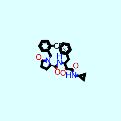 O=C(NC1CC1)C(=O)C(Cc1ccccc1)NC(=O)[C@H]1CCC(=O)N1Cc1ccccc1C(F)(F)F